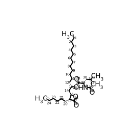 CCCCCCCCCCCCC[C@@H](C[C@H]1OC(=O)[C@@H]1CCCCCC)OC(=O)[C@H](CC(C)C)NC=O